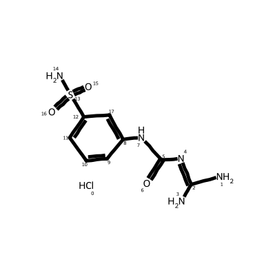 Cl.NC(N)=NC(=O)Nc1cccc(S(N)(=O)=O)c1